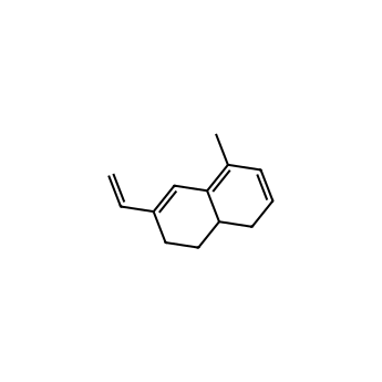 C=CC1=CC2=C(C)C=CCC2CC1